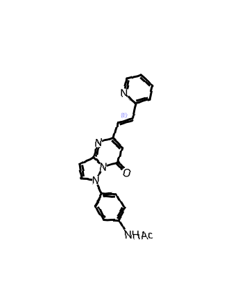 CC(=O)Nc1ccc(-n2ccc3nc(/C=C/c4ccccn4)cc(=O)n32)cc1